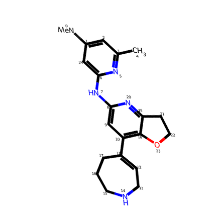 CNc1cc(C)nc(Nc2cc(C3=CCNCCC3)c3c(n2)CCO3)c1